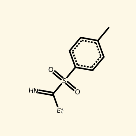 CCC(=N)S(=O)(=O)c1ccc(C)cc1